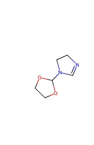 C1=NCCN1C1OCCO1